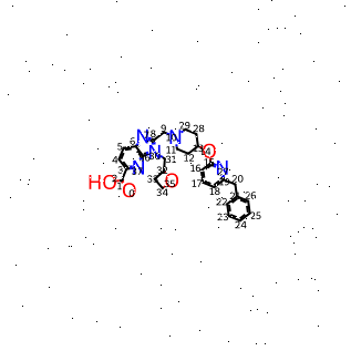 O=C(O)c1ccc2nc(CN3CCC(Oc4cccc(Cc5ccccc5)n4)CC3)n(CC3CCO3)c2n1